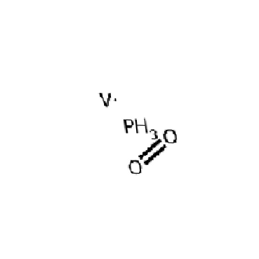 O=O.P.[V]